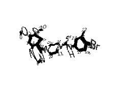 COc1cc2ncnc(N3CCN(C(=S)Nc4ccc(Br)c(C)c4)CC3)c2cc1OC